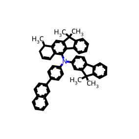 CC1CC=Cc2c1cc1c(c2N(c2ccc(-c3ccc4ccccc4c3)cc2)c2ccc3c(c2)C(C)(C)c2ccccc2-3)-c2ccccc2C1(C)C